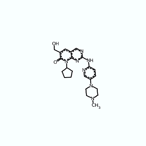 CN1CCN(c2ccc(Nc3ncc4cc(CO)c(=O)n(C5CCCC5)c4n3)nc2)CC1